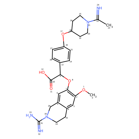 COc1cc2c(cc1OC(C(=O)O)c1ccc(OC3CCN(C(C)=N)CC3)cc1)CN(C(=N)N)CC2